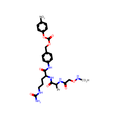 CC(C)C(NC(=O)CONC(=O)O)C(=O)NC(CCCNC(N)=O)C(=O)Nc1ccc(COC(=O)Oc2ccc([N+](=O)[O-])cc2)cc1